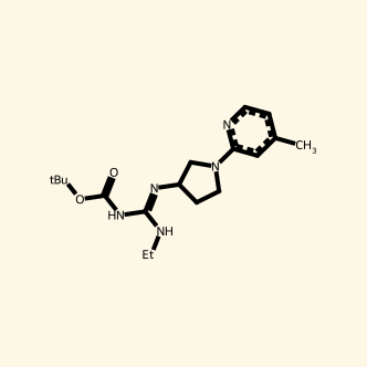 CCN/C(=N\C1CCN(c2cc(C)ccn2)C1)NC(=O)OC(C)(C)C